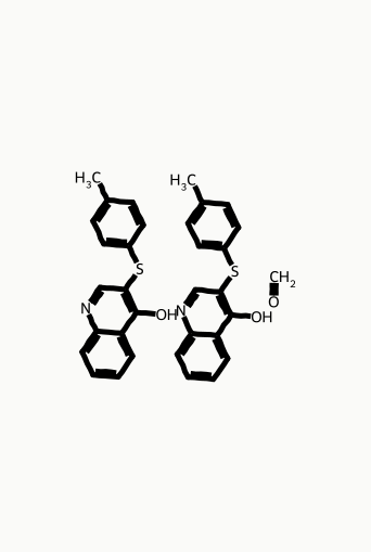 C=O.Cc1ccc(Sc2cnc3ccccc3c2O)cc1.Cc1ccc(Sc2cnc3ccccc3c2O)cc1